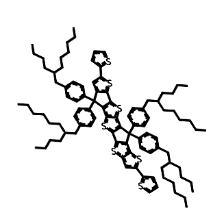 CCCCCCC(CCCC)Cc1ccc(C2(c3ccc(CC(CCCC)CCCCCC)cc3)c3cc(-c4cccs4)sc3-c3sc4c5c(sc4c32)-c2sc3cc(-c4cccs4)sc3c2C5(c2ccc(CC(CCCC)CCCCCC)cc2)c2ccc(CC(CCCC)CCCCCC)cc2)cc1